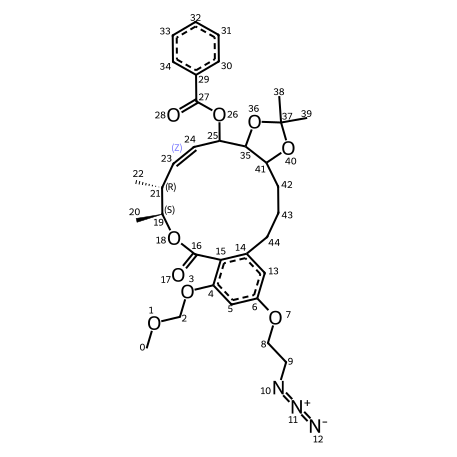 COCOc1cc(OCCN=[N+]=[N-])cc2c1C(=O)O[C@@H](C)[C@H](C)/C=C\C(OC(=O)c1ccccc1)C1OC(C)(C)OC1CCC2